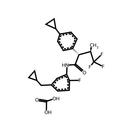 C[C@H]([C@H](C(=O)Nc1cc(CC2CC2)ccc1F)c1ccc(C2CC2)cc1)C(F)(F)F.O=C(O)O